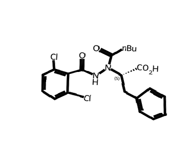 CCCCC(=O)N(NC(=O)c1c(Cl)cccc1Cl)[C@@H](Cc1ccccc1)C(=O)O